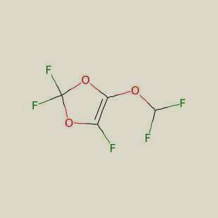 FC1=C(OC(F)F)OC(F)(F)O1